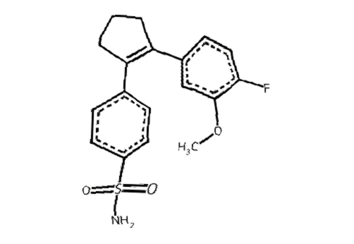 COc1cc(C2=C(c3ccc(S(N)(=O)=O)cc3)CCC2)ccc1F